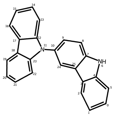 c1ccc2c(c1)[nH]c1ccc(-n3c4ccccc4c4ccccc43)cc12